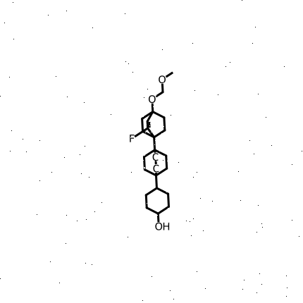 COCOC12C=C(F)C(C34CCC(C5CCC(O)CC5)(CC3)CC4)(CC1)CC2